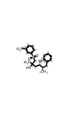 C[C@H](Cc1ccccc1)[C@@H](N)[CH]C(C)(O)CS(=O)(=O)c1cccc([N+](=O)[O-])c1